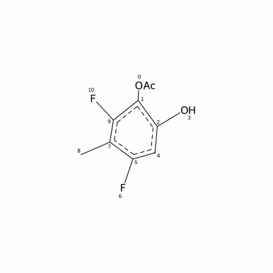 CC(=O)Oc1c(O)cc(F)c(C)c1F